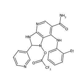 CCc1ccccc1Nc1c(C(N)=O)cnc2c1N(OC(=O)C(F)(F)F)C(c1cccnc1)N2